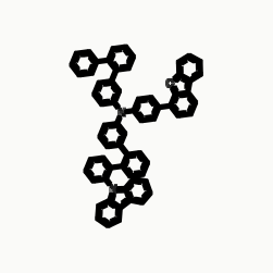 c1ccc(-c2ccccc2-c2cccc(N(c3ccc(-c4cccc5c4oc4ccccc45)cc3)c3cccc(-c4ccccc4-c4ccccc4-n4c5ccccc5c5ccccc54)c3)c2)cc1